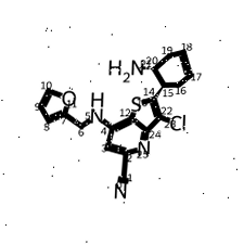 N#Cc1cc(NCc2ccco2)c2sc([C@@H]3CC=CC[C@H]3N)c(Cl)c2n1